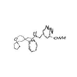 COc1cc(CNCCC2(c3ccccn3)CCOC3(CCCC3)C2)cnn1